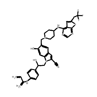 C=CC(=C)Nc1ccc(C(O)Cn2c(C#N)cc3cc(CN4CCC(Nc5ncnc6sc(CC(F)(F)F)cc56)CC4)c(O)cc32)cc1